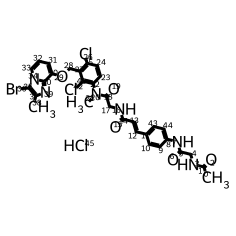 CC(=O)NCC(=O)Nc1ccc(C=CC(=O)NCC(=O)N(C)c2ccc(Cl)c(COc3cccn4c(Br)c(C)nc34)c2Cl)cc1.Cl